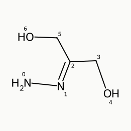 NN=C(CO)CO